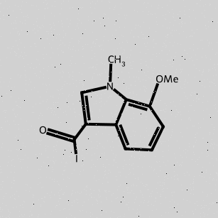 COc1cccc2c(C(=O)I)cn(C)c12